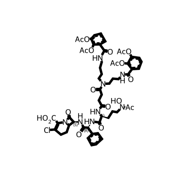 CC(=O)Oc1cccc(C(=O)NCCCCN(CCCNC(=O)c2cccc(OC(C)=O)c2OC(C)=O)C(=O)CCC(=O)N[C@@H](CCCN(O)C(C)=O)C(=O)N[C@@H](C(=O)N[C@@H]2C(=O)N3C(C(=O)O)=C(Cl)CCC23)c2ccccc2)c1OC(C)=O